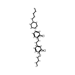 CCCCC[C@H]1CC[C@H](c2ccc(CCc3ccc(OCCCC)c(Cl)c3)c(Cl)c2)CC1